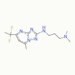 Cc1cc(C(C)(F)F)nc2nc(NCCCN(C)C)nn12